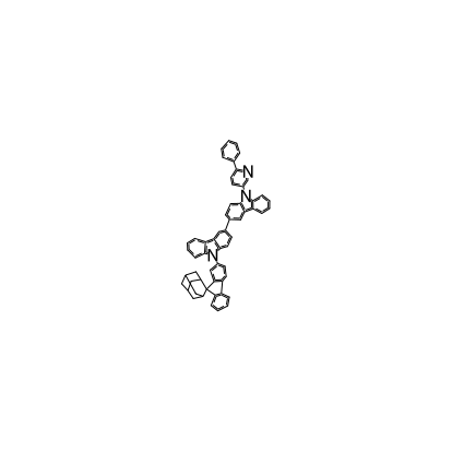 c1ccc(-c2ccc(-n3c4ccccc4c4cc(-c5ccc6c(c5)c5ccccc5n6-c5ccc6c(c5)C5(c7ccccc7-6)C6CC7CC(C6)CC5C7)ccc43)cn2)cc1